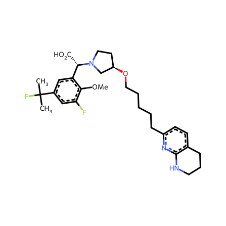 COc1c(F)cc(C(C)(C)F)cc1[C@H](C(=O)O)N1CC[C@@H](OCCCCCc2ccc3c(n2)NCCC3)C1